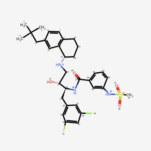 CC(C)(C)Cc1ccc2c(c1)[C@@H](NC[C@@H](O)[C@H](Cc1cc(F)cc(F)c1)NC(=O)c1cccc(NS(C)(=O)=O)c1)CCC2